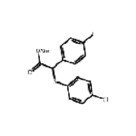 COC(=O)C(Sc1ccc(Cl)cc1)c1ccc(I)cc1